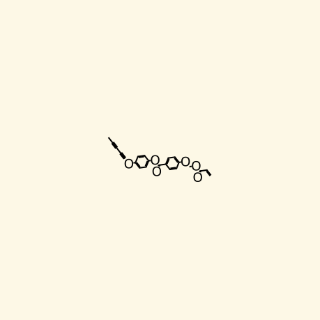 C=CC(=O)OCOc1ccc(C(=O)Oc2ccc(OC#CC#CC)cc2)cc1